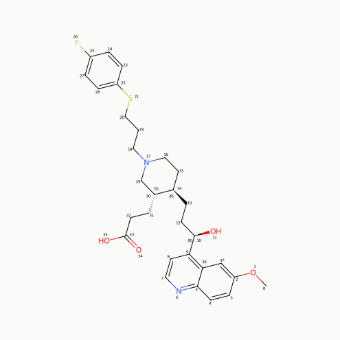 COc1ccc2nccc([C@H](O)CC[C@@H]3CCN(CCCSc4ccc(F)cc4)C[C@H]3CCC(=O)O)c2c1